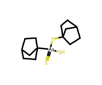 S=[As](S)(SC12CCC(CC1)C2)C12CCC(CC1)C2